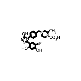 CC(C)c1cc(-c2nnc(O)n2-c2ccc(CN3CCN(C(=O)O)C(C)C3)cc2)c(O)cc1O